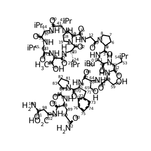 CC[C@H](C)[C@H](NC(=O)[C@@H]1CCCN1C(=O)CNC(=O)[C@@H]1CCCN1C(=O)[C@H](CC(C)C)NC(=O)[C@@H](NC(=O)[C@@H](NC(=O)[C@@H](NC(=O)[C@@H](N)C(C)C)C(C)C)C(C)C)[C@@H](C)O)C(=O)N[C@@H](CC(C)C)C(=O)N[C@@H](CO)C(=O)N[C@@H](CO)C(=O)N[C@@H](Cc1ccccc1)C(=O)N1CCC[C@H]1C(=O)N[C@@H](CCC(N)=O)C(=O)N[C@@H](CC(N)=O)C(=O)O